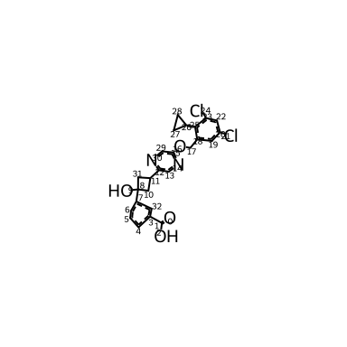 O=C(O)c1cccc(C2(O)CC(c3cnc(OCc4cc(Cl)cc(Cl)c4C4CC4)cn3)C2)c1